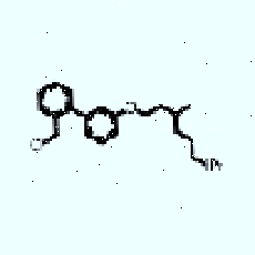 CC(C)CCCC(C)CCOc1cccc(-c2ccccc2CCl)c1